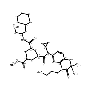 COCCCN1C(=O)C(C)(C)Oc2ccc(N(C(=O)[C@@H]3C[C@H](C(=O)NC(COC)CC4CCCCC4)CN(C(=O)OC(C)(C)C)C3)C3CC3)cc21